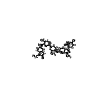 C[C@@H]1CN(c2ncc(Cl)c(Nc3ccc4c(c3)CC(=O)N4C)n2)CC[C@H]1Nc1ccc2c(C3CCC(=O)NC3=O)nn(C)c2n1